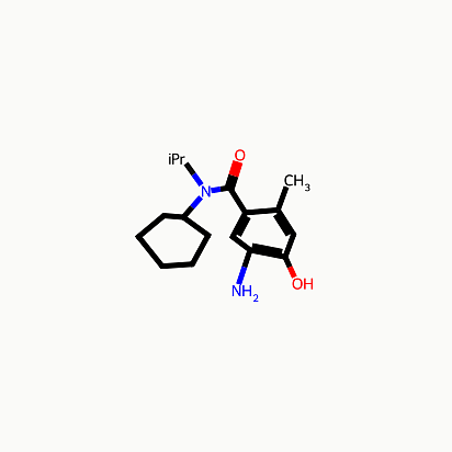 Cc1cc(O)c(N)cc1C(=O)N(C(C)C)C1CCCCC1